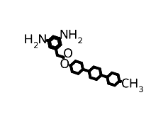 CC1CCC(C2CCC(C3CCC(OC(=O)Cc4cc(N)cc(N)c4)CC3)CC2)CC1